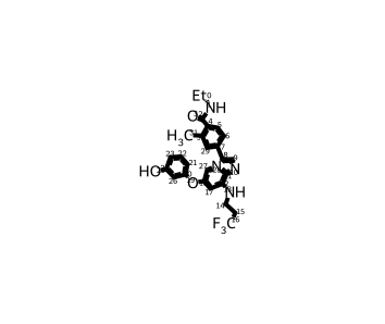 CCNC(=O)c1ccc(-c2cnc3c(NCCC(F)(F)F)cc(Oc4cccc(O)c4)cn23)cc1C